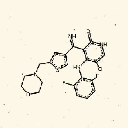 N=C(c1csc(CN2CCOCC2)c1)c1c(Nc2c(F)cccc2F)c(Cl)c[nH]c1=O